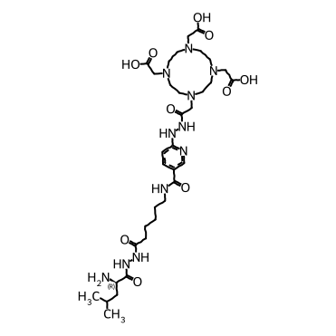 CC(C)C[C@@H](N)C(=O)NNC(=O)CCCCCNC(=O)c1ccc(NNC(=O)CN2CCN(CC(=O)O)CCN(CC(=O)O)CCN(CC(=O)O)CC2)nc1